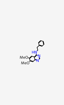 COc1cc2ncnc(NCCc3ccccc3)c2cc1OC